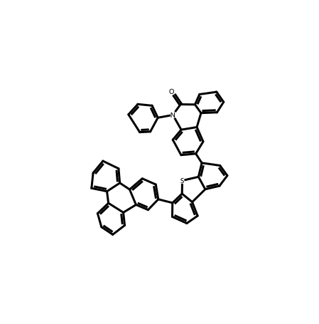 O=c1c2ccccc2c2cc(-c3cccc4c3sc3c(-c5ccc6c7ccccc7c7ccccc7c6c5)cccc34)ccc2n1-c1ccccc1